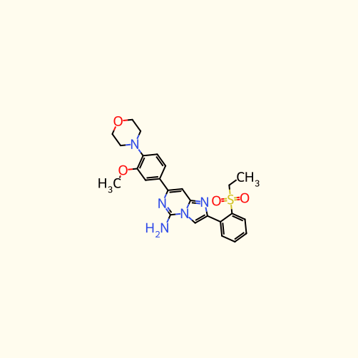 CCS(=O)(=O)c1ccccc1-c1cn2c(N)nc(-c3ccc(N4CCOCC4)c(OC)c3)cc2n1